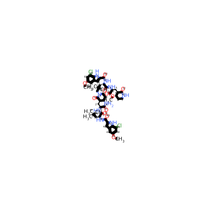 COC(=O)[C@H](C[C@@H]1CCCNC1=O)NC(=O)[C@H](CC(C)(C)CN1CCC[C@@H](C[C@H](NC(=O)[C@H](CC(C)(C)C)NC(=O)c2cc3cc(OC)cc(Cl)c3[nH]2)C(N)=O)C1=O)NC(=O)c1cc2cc(OC)cc(Cl)c2[nH]1